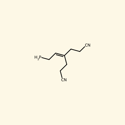 N#CCCC(=CCP)CCC#N